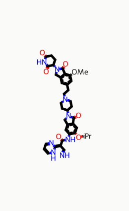 COc1cc(CCN2CCC(N3Cc4cc(NC(=O)/C(C=N)=C5\N=CC=CN5)c(OC(C)C)cc4C3=O)CC2)cc2c1C(=O)N(C1CCC(=O)NC1=O)C2